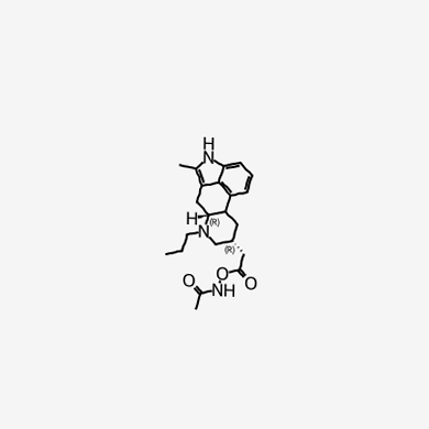 CCCN1C[C@@H](CC(=O)ONC(C)=O)CC2c3cccc4[nH]c(C)c(c34)C[C@H]21